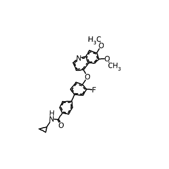 COc1cc2nccc(Oc3ccc(-c4ccc(C(=O)NC5CC5)cc4)cc3F)c2cc1OC